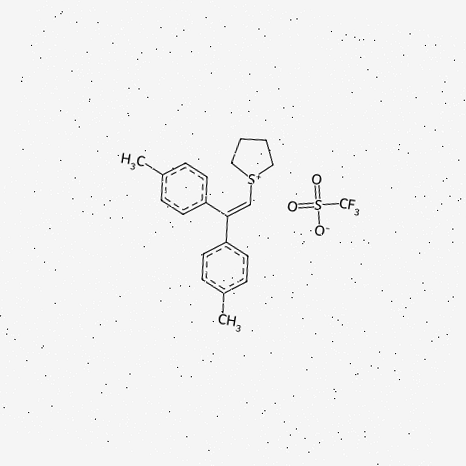 Cc1ccc(C(=C[S+]2CCCC2)c2ccc(C)cc2)cc1.O=S(=O)([O-])C(F)(F)F